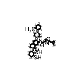 Cc1ccccc1N1CCN(c2cc3c(cc2NC(=O)c2coc(C4CC4)n2)C(=O)N([C@H]2CCC[C@H](O)[C@@H]2O)CC3)CC1